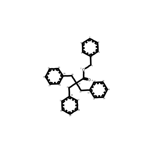 O=C(OCc1ccccc1)C(Cc1ccccc1)(Cc1ccccc1)Cc1ccccc1